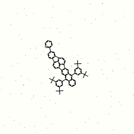 CC(C)(C)c1cc(-c2c3ccccc3c(-c3cc(C(C)(C)C)cc(C(C)(C)C)c3)c3cc4c(cc23)-c2ccc3c5c(ccc-4c25)-c2cc(-c4ccccn4)ccc2-3)cc(C(C)(C)C)c1